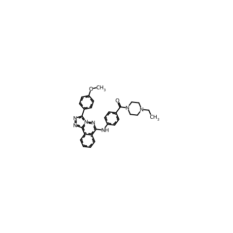 CCN1CCN(C(=O)c2ccc(Nc3nn4c(-c5ccc(OC)cc5)nnc4c4ccccc34)cc2)CC1